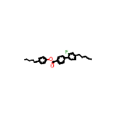 CCCCCc1ccc(OC(=O)c2ccc(-c3ccc(CCCCC)cc3F)cc2)cc1